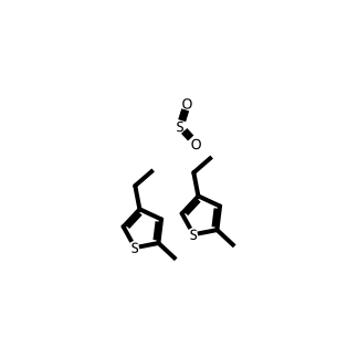 CCc1csc(C)c1.CCc1csc(C)c1.O=S=O